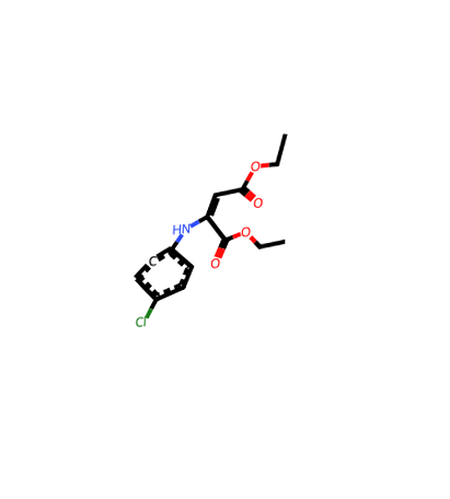 CCOC(=O)C=C(Nc1ccc(Cl)cc1)C(=O)OCC